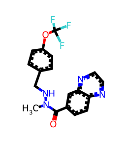 CN(NCc1ccc(OC(F)(F)F)cc1)C(=O)c1ccc2nccnc2c1